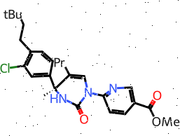 COC(=O)c1ccc(N2C=C(C(C)C)[C@](C)(c3ccc(CCC(C)(C)C)c(Cl)c3)NC2=O)nc1